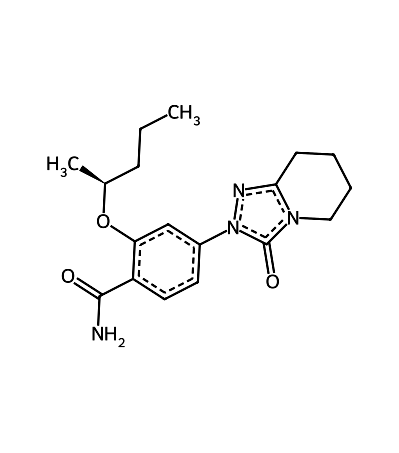 CCC[C@H](C)Oc1cc(-n2nc3n(c2=O)CCCC3)ccc1C(N)=O